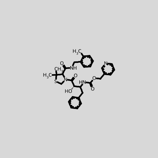 Cc1ccccc1CNC(=O)C1N(C(=O)[C@@H](O)C(Cc2ccccc2)NC(=O)OCc2cccnc2)CSC1(C)C